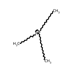 CCCCCCCCCCCCCCCCCc1n(CCCCCCCCCCCCCCC)cc[n+]1CCCCCCCCCCCC